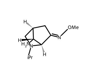 CO/N=C1\C[C@@H]2CN(C(C)C)[C@H]1[C@@H]2N